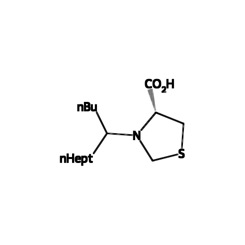 CCCCCCCC(CCCC)N1CSC[C@H]1C(=O)O